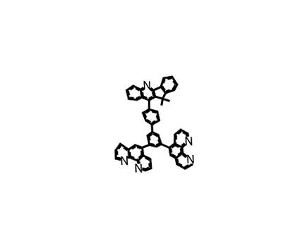 CC1(C)c2ccccc2-c2nc3ccccc3c(-c3ccc(-c4cc(-c5cc6cccnc6c6ncccc56)cc(-c5cc6cccnc6c6ncccc56)c4)cc3)c21